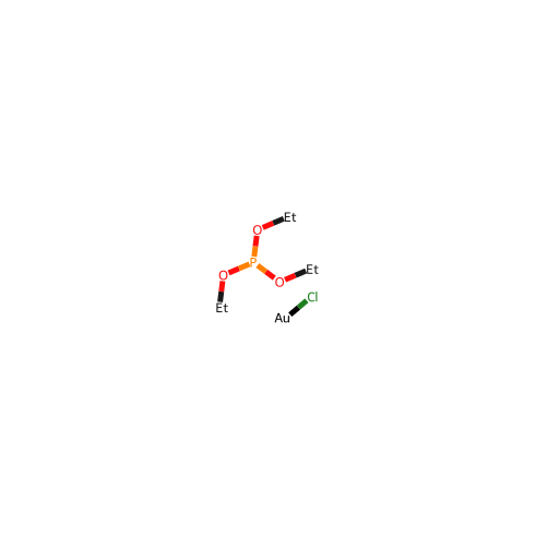 CCOP(OCC)OCC.[Cl][Au]